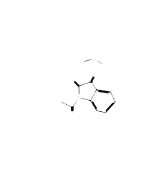 COC.O=C1C(=O)N(C(=O)O)c2ccccc21